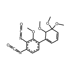 COc1c(C2=CC=CC(OC)(OC)C2OC)ccc(N=C=O)c1N=C=O